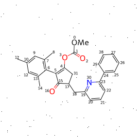 COC(=O)OC1=C(c2c(C)cc(C)cc2C)C(=O)C(Cc2cccc(-c3ccccc3)n2)C1